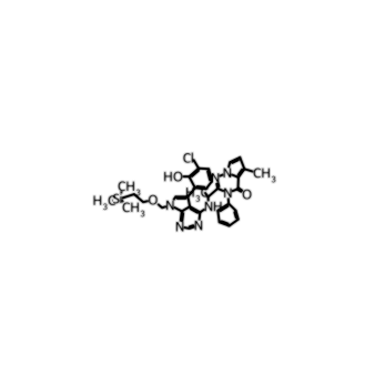 Cc1ccn2nc(C(C)Nc3ncnc4c3c(-c3cccc(Cl)c3O)cn4COCC[Si](C)(C)C)n(-c3ccccc3)c(=O)c12